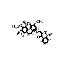 COc1cc(N/C=C\C(=O)c2ccccc2[N+](=O)[O-])c(/C=C\c2cc(OC)c(OC)c(OC)c2)cc1Cl